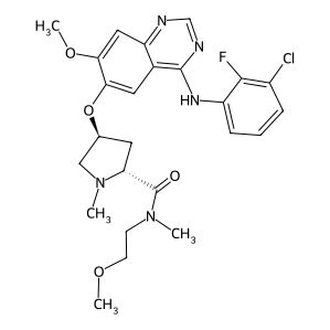 COCCN(C)C(=O)[C@H]1C[C@H](Oc2cc3c(Nc4cccc(Cl)c4F)ncnc3cc2OC)CN1C